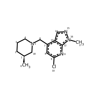 C[C@H]1CCCN(Cc2cc(Cl)nc3c2cnn3C)C1